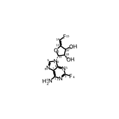 Nc1nc(F)nc2c1ncn2[C@@H]1OC(=CF)[C@@H](O)[C@H]1O